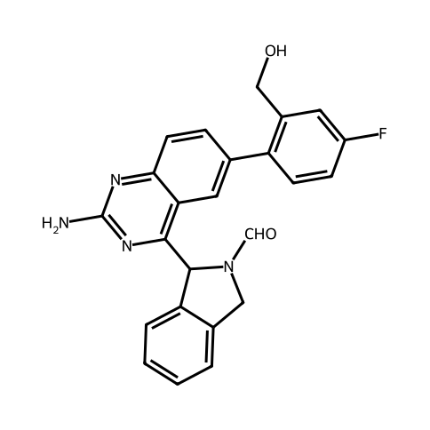 Nc1nc(C2c3ccccc3CN2C=O)c2cc(-c3ccc(F)cc3CO)ccc2n1